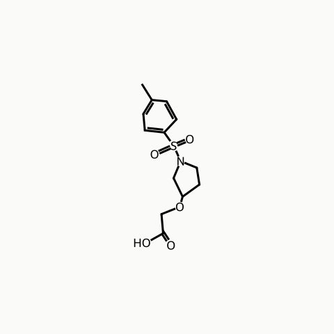 Cc1ccc(S(=O)(=O)N2CCC(OCC(=O)O)C2)cc1